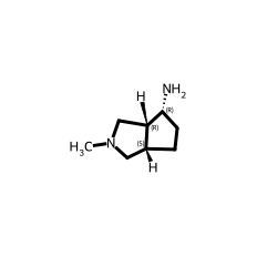 CN1C[C@H]2CC[C@@H](N)[C@H]2C1